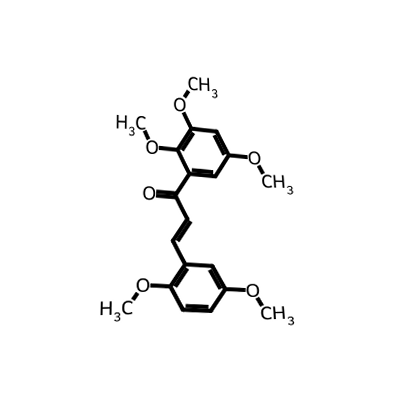 COc1ccc(OC)c(C=CC(=O)c2cc(OC)cc(OC)c2OC)c1